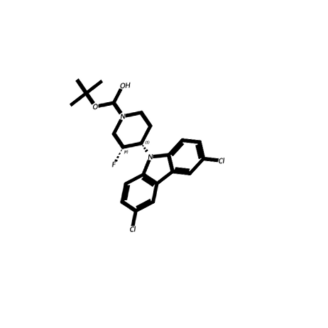 CC(C)(C)OC(O)N1CC[C@H](n2c3ccc(Cl)cc3c3cc(Cl)ccc32)[C@H](F)C1